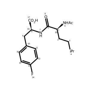 CC(=O)N[C@@H](CCC(C)C)C(=O)N[C@@H](Cc1ccc(F)cc1)C(=O)O